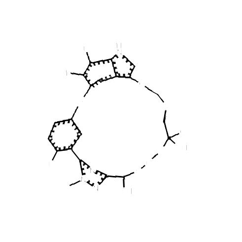 CC1CCCC(C)(C)CSCCc2c[nH]c3c(F)c(F)c(cc23)Oc2ccc(F)c(c2)-c2nc1nn2C